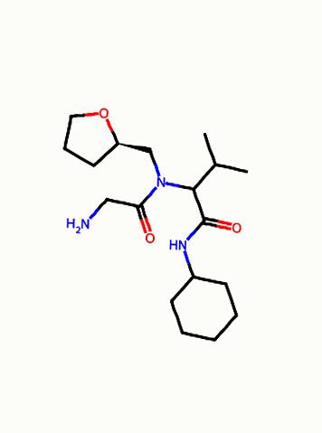 CC(C)C(C(=O)NC1CCCCC1)N(C[C@H]1CCCO1)C(=O)CN